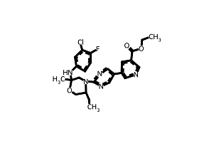 CCOC(=O)c1cncc(-c2cnc(N3CC(C)(Nc4ccc(F)c(Cl)c4)OCC3CC)nc2)c1